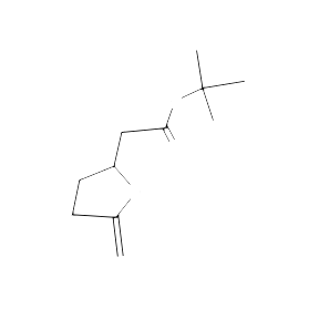 CC(C)(C)OC(=O)CC1CCC(=O)O1